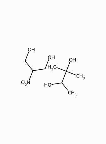 CC(O)C(C)(C)O.O=[N+]([O-])C(CO)CO